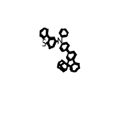 c1ccc(N(c2ccc(-c3ccc4c(c3)C3(c5ccccc5-4)C4CC5CC(C4)CC3C5)cc2)c2ccc3sc4ccccc4c3c2)cc1